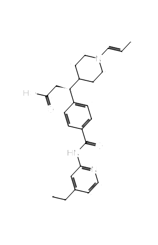 CC=CN1CCC([C@H](CC(=O)O)c2ccc(C(=O)Nc3cc(CC)ccn3)cc2)CC1